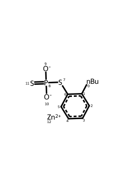 CCCCc1ccccc1SP([O-])([O-])=S.[Zn+2]